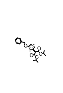 CC(C)OC(=O)C(C(=O)OC(C)C)=C1SCC(OCc2ccccc2)S1